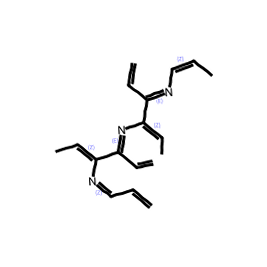 C=C\C=N/C(=C\C)C(/C=C)=N/C(=C\C)C(/C=C)=N/C=C\C